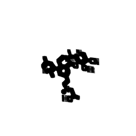 CCOc1cc([C@H](C)N2CCc3c(cc(CCN(C)CC(C)O)cc3-c3cc(C)cnc3C)C2=O)ncc1C#N